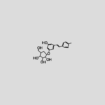 Cc1ccc(/C=C/c2cc(O)cc(OC3CC(CO)C(O)C(O)C3O)c2)cc1